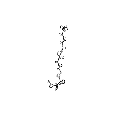 C=C(OC)C(=O)OCCOCCOCCOCCO